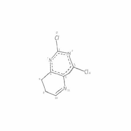 Clc1nc(Cl)c2c(n1)CCC=N2